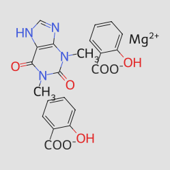 Cn1c(=O)c2[nH]cnc2n(C)c1=O.O=C([O-])c1ccccc1O.O=C([O-])c1ccccc1O.[Mg+2]